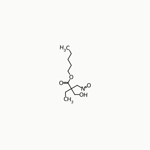 CCCCCOC(=O)C(CC)(CO)CN=O